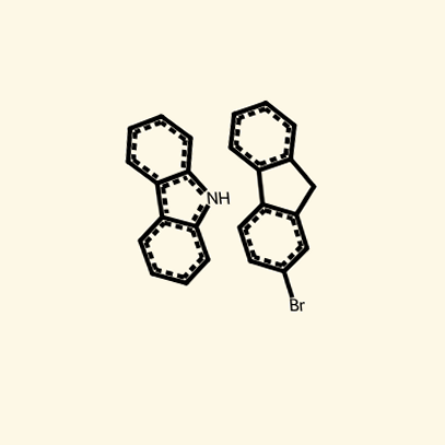 Brc1ccc2c(c1)Cc1ccccc1-2.c1ccc2c(c1)[nH]c1ccccc12